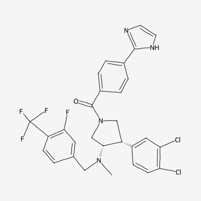 CN(Cc1ccc(C(F)(F)F)c(F)c1)[C@@H]1CN(C(=O)c2ccc(-c3ncc[nH]3)cc2)C[C@@H]1c1ccc(Cl)c(Cl)c1